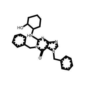 O=c1c2c(ncn2Cc2ccccc2)nc(NC2CCCCC2O)n1Cc1ccccc1